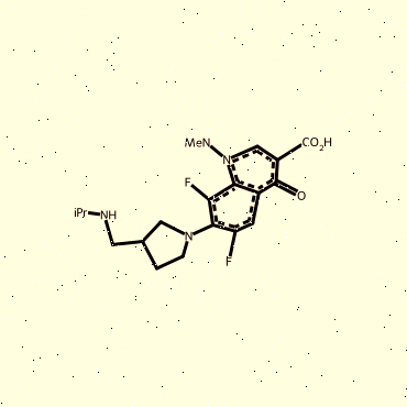 CNn1cc(C(=O)O)c(=O)c2cc(F)c(N3CCC(CNC(C)C)C3)c(F)c21